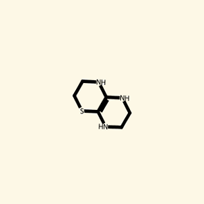 C1CNC2=C(N1)NCCS2